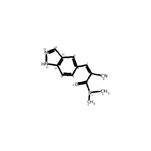 CN(C)C(=O)/C(C#N)=C\c1ccc2[nH]ncc2c1